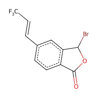 O=C1OC(Br)c2cc(C=CC(F)(F)F)ccc21